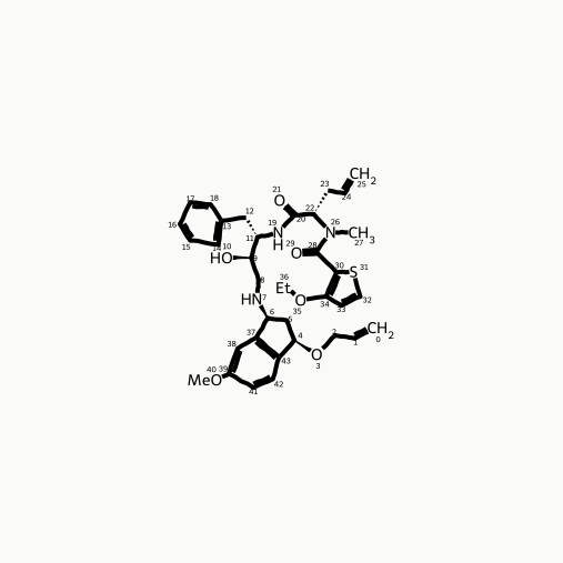 C=CCO[C@@H]1C[C@H](NC[C@@H](O)[C@H](Cc2ccccc2)NC(=O)[C@H](CC=C)N(C)C(=O)c2sccc2OCC)c2cc(OC)ccc21